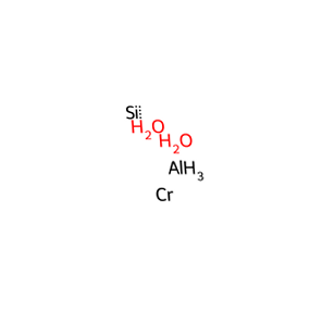 O.O.[AlH3].[Cr].[Si]